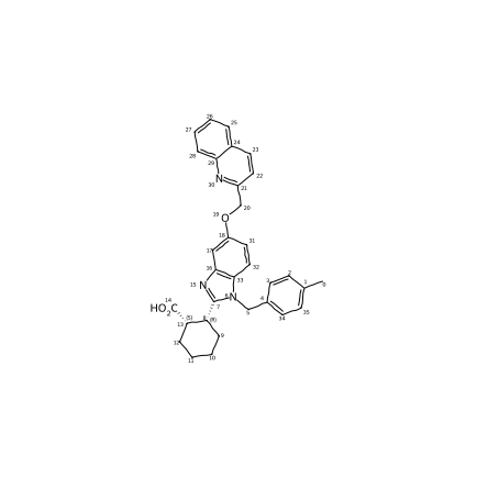 Cc1ccc(Cn2c([C@@H]3CCCC[C@@H]3C(=O)O)nc3cc(OCc4ccc5ccccc5n4)ccc32)cc1